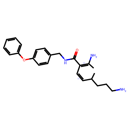 C/C(N)=C(\C=C/C(C)CCCN)C(=O)NCc1ccc(Oc2ccccc2)cc1